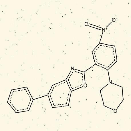 O=[N+]([O-])c1ccc(N2CCOCC2)c(-c2nc3cc(-c4ccccc4)ccc3o2)c1